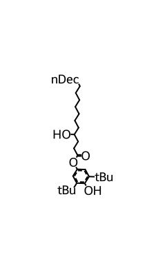 CCCCCCCCCCCCCCCCCC(O)CCC(=O)Oc1cc(C(C)(C)C)c(O)c(C(C)(C)C)c1